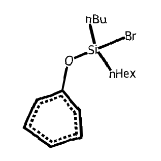 CCCCCC[Si](Br)(CCCC)Oc1ccccc1